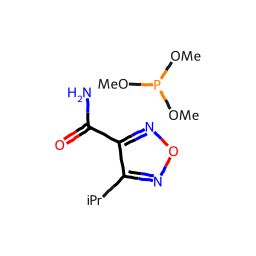 CC(C)c1nonc1C(N)=O.COP(OC)OC